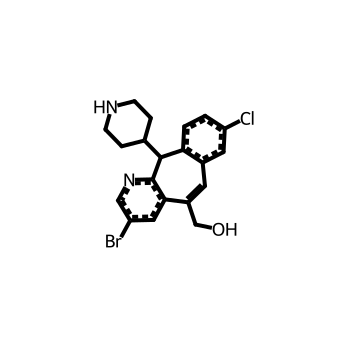 OCC1=Cc2cc(Cl)ccc2C(C2CCNCC2)c2ncc(Br)cc21